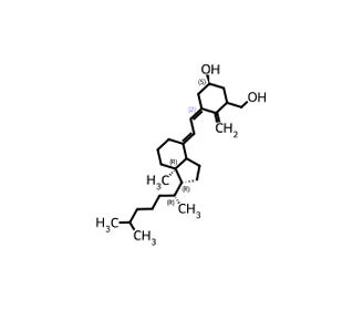 C=C1/C(=C\C=C2CCC[C@@]3(C)C2CC[C@@H]3[C@H](C)CCCC(C)C)C[C@@H](O)CC1CO